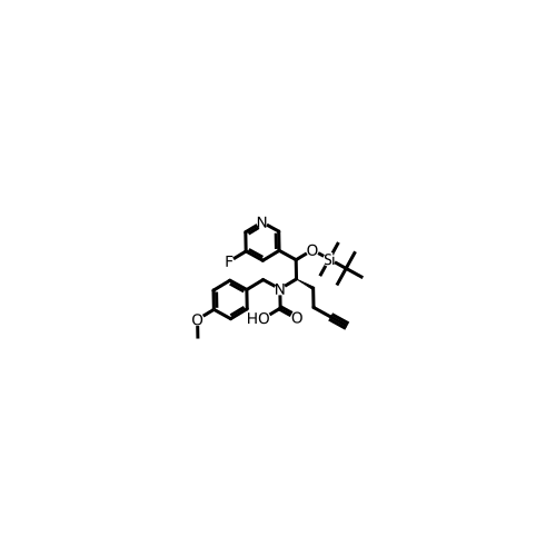 C#CCC[C@H](C(O[Si](C)(C)C(C)(C)C)c1cncc(F)c1)N(Cc1ccc(OC)cc1)C(=O)O